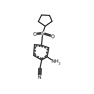 N#Cc1ccc(S(=O)(=O)C2CCCC2)cc1N